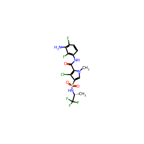 C[C@@H](NS(=O)(=O)c1cn(C)c(C(=O)Nc2ccc(F)c(N)c2F)c1Cl)C(F)(F)F